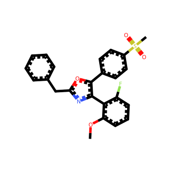 COc1cccc(F)c1-c1nc(Cc2ccccc2)oc1-c1ccc(S(C)(=O)=O)cc1